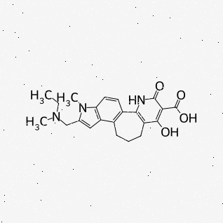 CCN(C)Cc1cc2c3c(ccc2n1C)-c1[nH]c(=O)c(C(=O)O)c(O)c1CCC3